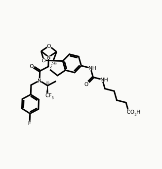 C[C@H](N(Cc1ccc(F)cc1)C(=O)CN1C2OC1[C@]1(CCc3cc(NC(=O)NCCCCC(=O)O)ccc31)O2)C(F)(F)F